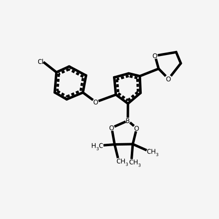 CC1(C)OB(c2cc(C3OCCO3)ccc2Oc2ccc(Cl)cc2)OC1(C)C